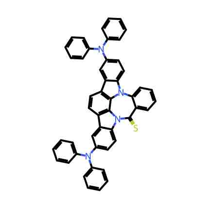 S=c1c2ccccc2n2c3ccc(N(c4ccccc4)c4ccccc4)cc3c3ccc4c5cc(N(c6ccccc6)c6ccccc6)ccc5n1c4c32